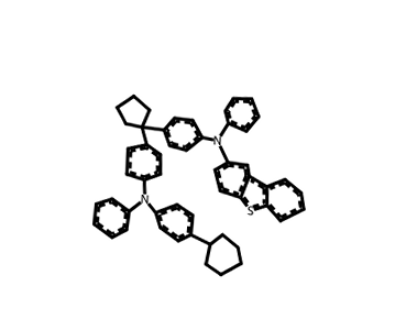 c1ccc(N(c2ccc(C3CCCCC3)cc2)c2ccc(C3(c4ccc(N(c5ccccc5)c5ccc6sc7ccccc7c6c5)cc4)CCCC3)cc2)cc1